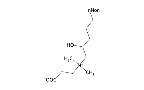 CCCCCCCCCCCCC(O)C[N+](C)(C)CCC(=O)[O-]